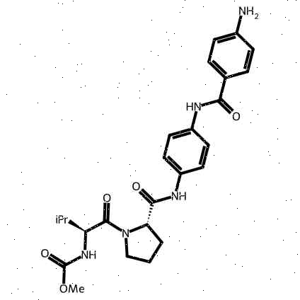 COC(=O)N[C@H](C(=O)N1CCC[C@H]1C(=O)Nc1ccc(NC(=O)c2ccc(N)cc2)cc1)C(C)C